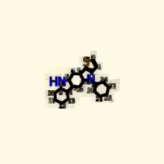 c1cc2c(s1)C1CC3NC4CCCCC4C3CC1N2C1CCCCC1